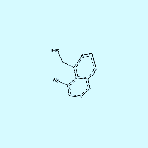 SCc1cccc2cccc(S)c12